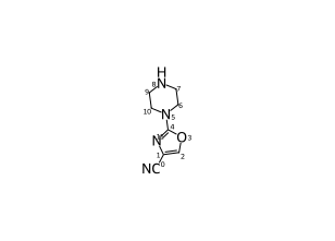 N#Cc1coc(N2CCNCC2)n1